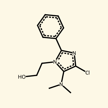 CN(C)c1c(Cl)nc(-c2ccccc2)n1CCO